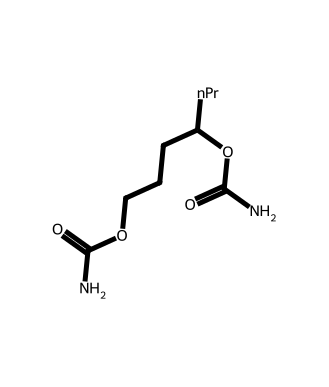 CCCC(CCCOC(N)=O)OC(N)=O